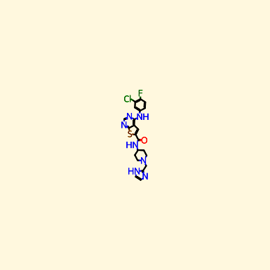 O=C(NC1CCN(Cc2ncc[nH]2)CC1)c1cc2c(Nc3ccc(F)c(Cl)c3)ncnc2s1